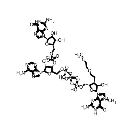 CCCCOCC[C@H]1[C@@H](O)[C@H](n2c[n+](C)c3c(=O)[nH]c(N)nc32)O[C@@H]1COP(=O)(O)OP(=O)(O)OP(=O)(O)OCC1O[C@@H](n2cnc3c(N)ncnc32)[C@H](OC)[C@@H]1OP(=O)([O-])OC[C@H]1O[C@@H](n2cnc3c(=O)[nH]c(N)nc32)[C@H](O)[C@@H]1O